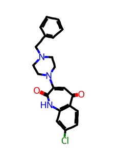 O=c1[nH]c2cc(Cl)ccc2c(=O)cc1N1CCN(Cc2ccccc2)CC1